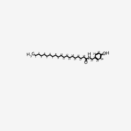 CCCCCCCCCCCCCCCCCCCC(=O)NCc1ccc(O)cc1